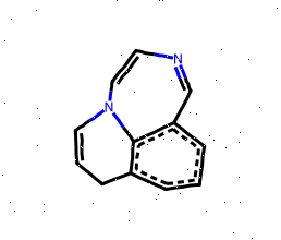 C1=CN2C=CN=Cc3cccc(c32)C1